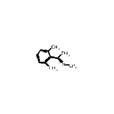 C/N=C(\C)c1c(C)cccc1C